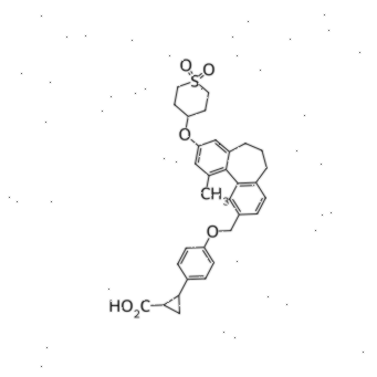 Cc1cc(OC2CCS(=O)(=O)CC2)cc2c1-c1cc(COc3ccc(C4CC4C(=O)O)cc3)ccc1CCC2